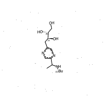 CC[C@H](C)NC(C)c1cnc(C[C@H](O)[C@H](O)CO)cn1